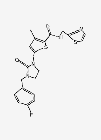 Cc1cc(N2CCN(Cc3ccc(F)cc3)C2=O)sc1C(=O)NCc1nccs1